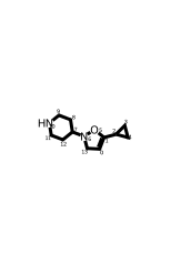 C1=C(C2CC2)ON(C2CCNCC2)C1